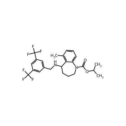 Cc1cccc2c1C(NCc1cc(C(F)(F)F)cc(C(F)(F)F)c1)CCCN2C(=O)OC(C)C